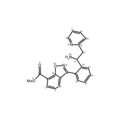 COC(=O)c1cccc2c(-c3ccccc3C(N)Cc3ccccn3)noc12